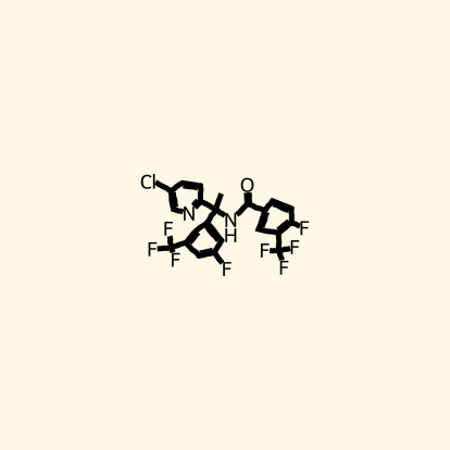 CC(NC(=O)c1ccc(F)c(C(F)(F)F)c1)(c1cc(F)cc(C(F)(F)F)c1)c1ccc(Cl)cn1